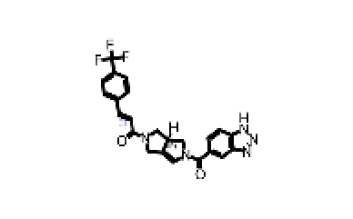 O=C(c1ccc2[nH]nnc2c1)N1C=C2CN(C(=O)/C=C/c3ccc(C(F)(F)F)cc3)C[C@@H]2C1